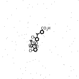 [2H]C([2H])(Oc1ccc(C2CC2c2cccc(C(=O)O)c2)c(Cl)c1)c1c(-c2c(Cl)cccc2Cl)noc1C1CC1